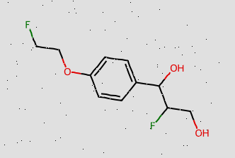 OCC(F)C(O)c1ccc(OCCF)cc1